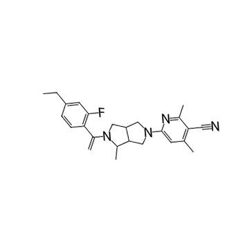 C=C(c1ccc(CC)cc1F)N1CC2CN(c3cc(C)c(C#N)c(C)n3)CC2C1C